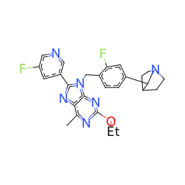 CCOc1nc(C)c2nc(-c3cncc(F)c3)n(Cc3ccc(C4CN5CCC4CC5)cc3F)c2n1